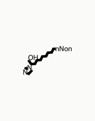 CCCCCCCCCCCCCCCCCC(CO)N1C=NCC1